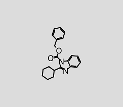 O=C(OCc1ccccc1)n1c(C2CCCCC2)nc2ccccc21